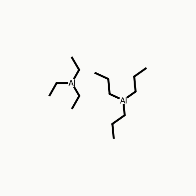 CC[CH2][Al]([CH2]CC)[CH2]CC.C[CH2][Al]([CH2]C)[CH2]C